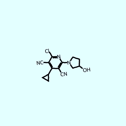 N#Cc1c(Cl)nc(N2CCC(O)C2)c(C#N)c1C1CC1